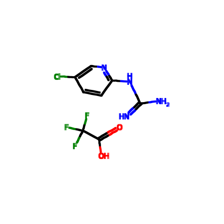 N=C(N)Nc1ccc(Cl)cn1.O=C(O)C(F)(F)F